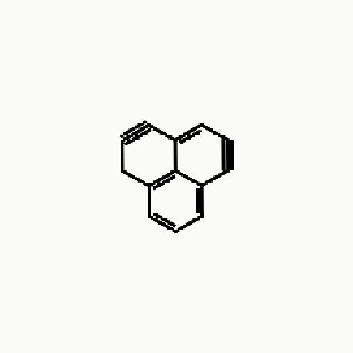 C1#Cc2cc#cc3cccc(c23)C1